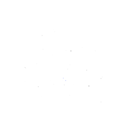 FC(F)(F)CN(CP(c1ccccc1)c1ccccc1)CP(c1ccccc1)c1ccccc1